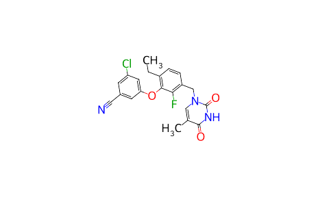 CCc1ccc(Cn2cc(C)c(=O)[nH]c2=O)c(F)c1Oc1cc(Cl)cc(C#N)c1